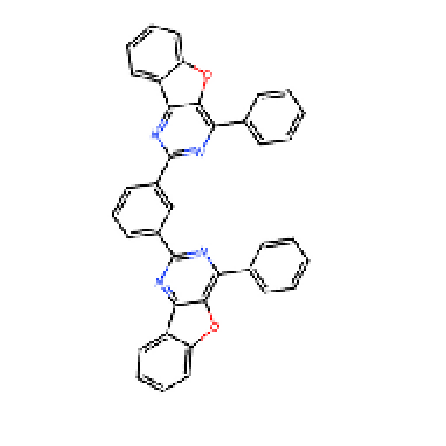 c1ccc(-c2nc(-c3cccc(-c4nc(-c5ccccc5)c5oc6ccccc6c5n4)c3)nc3c2oc2ccccc23)cc1